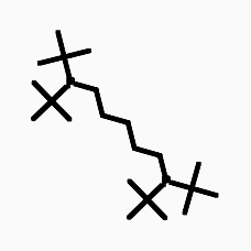 CC(C)(C)P(CCCCCP(C(C)(C)C)C(C)(C)C)C(C)(C)C